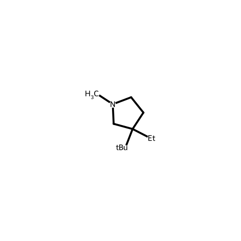 CCC1(C(C)(C)C)CCN(C)C1